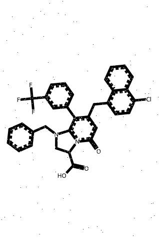 O=C(O)C1CN(Cc2ccccc2)c2c(-c3cccc(C(F)(F)F)c3)c(Cc3ccc(Cl)c4ccccc34)cc(=O)n21